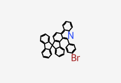 Brc1ccc(-c2nc3ccccc3c3ccc4c(c23)-c2ccccc2C42c3ccccc3-c3ccccc32)cc1